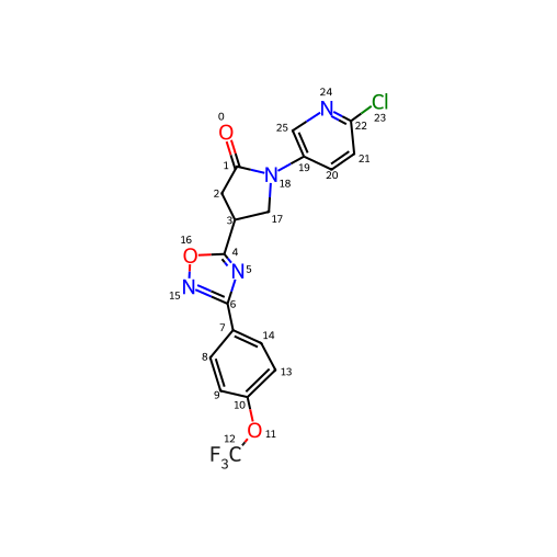 O=C1CC(c2nc(-c3ccc(OC(F)(F)F)cc3)no2)CN1c1ccc(Cl)nc1